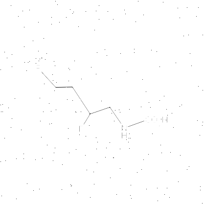 O=C(O)NCC(F)CCF